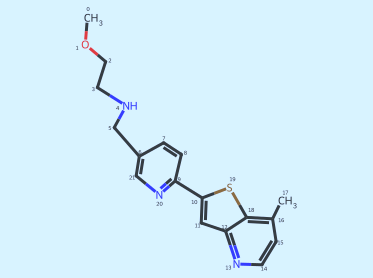 COCCNCc1ccc(-c2cc3nccc(C)c3s2)nc1